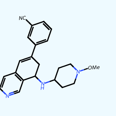 CON1CCC(NC2CC(c3cccc(C#N)c3)=Cc3ccncc32)CC1